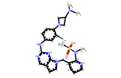 CN(C)C1CN(c2ccc(Nc3ncc4ccn(Cc5cccnc5N(C)S(C)(=O)=O)c4n3)cc2F)C1